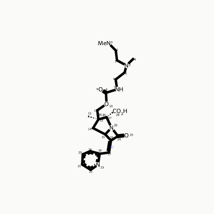 CNCCN(C)CCNC(=O)OC[C@]1(C)CC2/C(=C\c3ccccn3)C(=O)N2[C@H]1C(=O)O